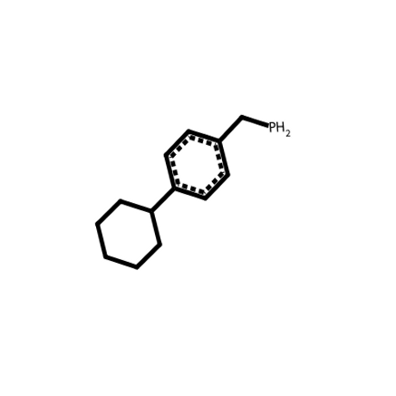 PCc1ccc(C2CCCCC2)cc1